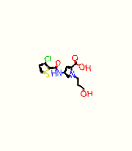 O=C(Nc1cc(C(=O)O)n(CCCO)c1)c1sccc1Cl